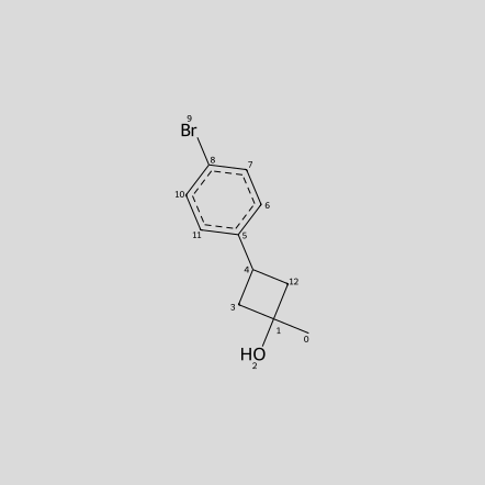 CC1(O)CC(c2ccc(Br)cc2)C1